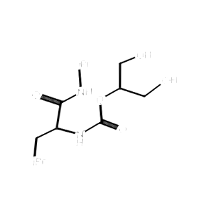 CC(C)CC(NC(=O)OC(CO)CO)C(=O)NC(C)C